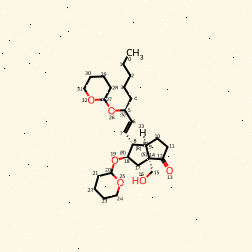 CCCCC[C@@H](C=C[C@@H]1[C@H]2CCC(=O)[C@@]2(CO)C[C@H]1OC1CCCCO1)OC1CCCCO1